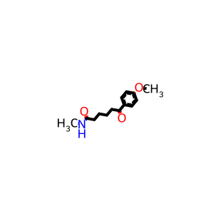 CNC(=O)CCCCC(=O)c1ccc(OC)cc1